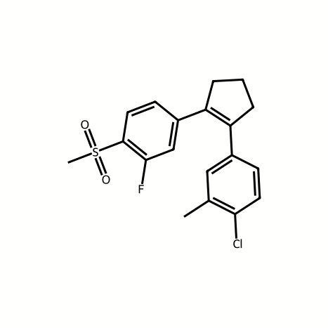 Cc1cc(C2=C(c3ccc(S(C)(=O)=O)c(F)c3)CCC2)ccc1Cl